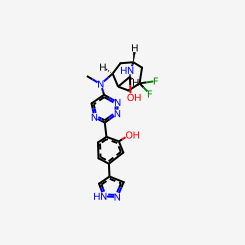 CN(c1cnc(-c2ccc(-c3cn[nH]c3)cc2O)nn1)[C@H]1C[C@@H]2CC(F)(F)CC1[C@H](O)N2